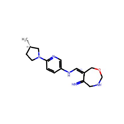 C[C@H]1CCN(c2ccc(N/C=C3/COCNCC3=N)cn2)C1